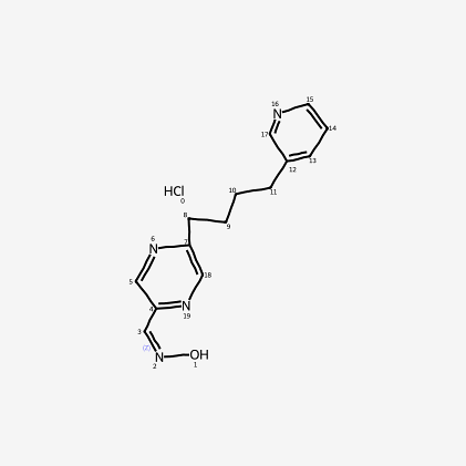 Cl.O/N=C\c1cnc(CCCCc2cccnc2)cn1